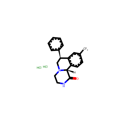 Cl.Cl.O=C1NCCN2C[C@@H](c3ccccc3)c3cc(C(F)(F)F)ccc3[C@H]12